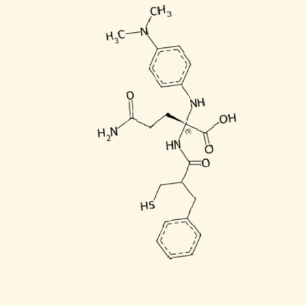 CN(C)c1ccc(N[C@@](CCC(N)=O)(NC(=O)C(CS)Cc2ccccc2)C(=O)O)cc1